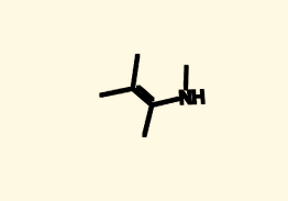 CNC(C)=C(C)C